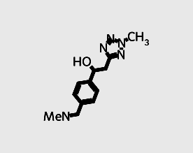 CNCc1ccc(C(O)Cc2nnn(C)n2)cc1